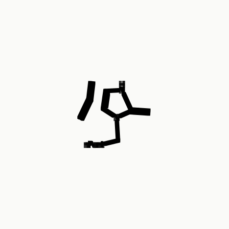 C=C1NC=CN1CCCCCC.C=C=C